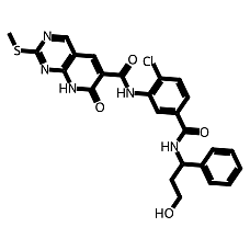 CSc1ncc2cc(C(=O)Nc3cc(C(=O)NC(CCO)c4ccccc4)ccc3Cl)c(=O)[nH]c2n1